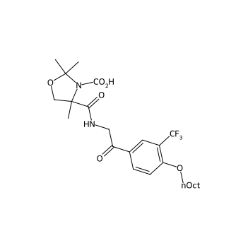 CCCCCCCCOc1ccc(C(=O)CNC(=O)C2(C)COC(C)(C)N2C(=O)O)cc1C(F)(F)F